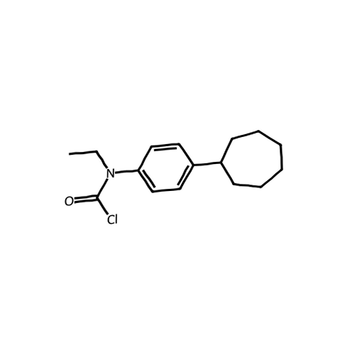 CCN(C(=O)Cl)c1ccc(C2CCCCCC2)cc1